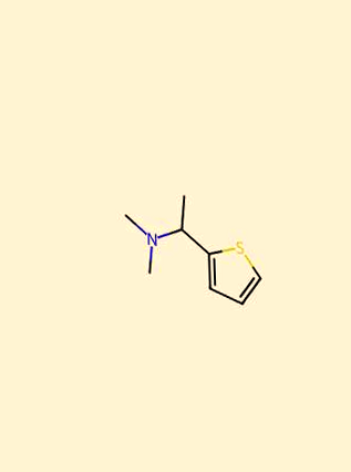 CC(c1cccs1)N(C)C